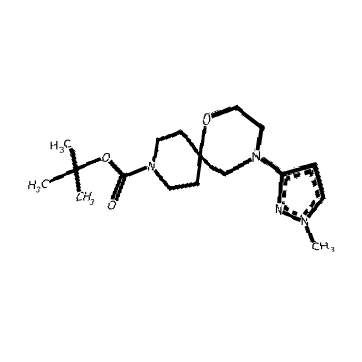 Cn1ccc(N2CCOC3(CCN(C(=O)OC(C)(C)C)CC3)C2)n1